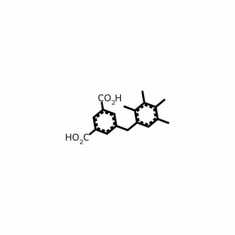 Cc1cc(Cc2cc(C(=O)O)cc(C(=O)O)c2)c(C)c(C)c1C